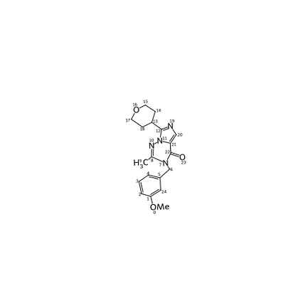 COc1cccc(Cn2c(C)nn3c(C4CCOCC4)ncc3c2=O)c1